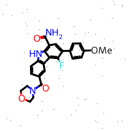 COc1ccc(-c2cc(C(N)=O)c3[nH]c4ccc(C(=O)N5CCOCC5)cc4c3c2F)cc1